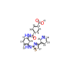 COC(=O)c1ccc(C(=O)Nc2ccc(C)c(Nc3nc(-c4cccnc4)cs3)c2)cc1